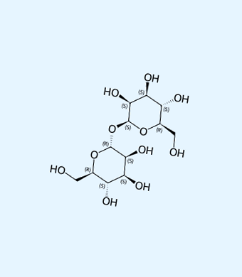 OC[C@H]1O[C@@H](O[C@H]2O[C@H](CO)[C@@H](O)[C@H](O)[C@@H]2O)[C@@H](O)[C@@H](O)[C@@H]1O